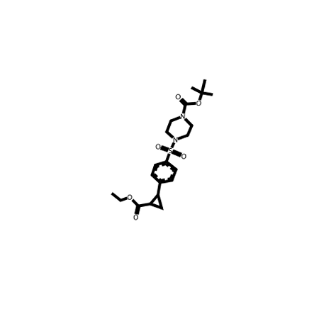 CCOC(=O)C1CC1c1ccc(S(=O)(=O)N2CCN(C(=O)OC(C)(C)C)CC2)cc1